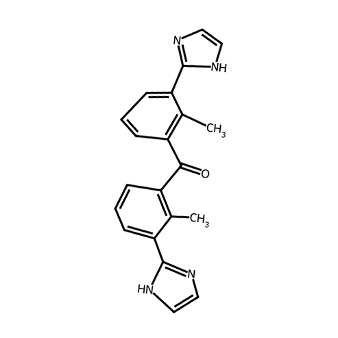 Cc1c(C(=O)c2cccc(-c3ncc[nH]3)c2C)cccc1-c1ncc[nH]1